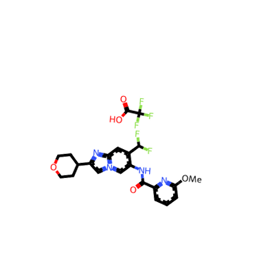 COc1cccc(C(=O)Nc2cn3cc(C4CCOCC4)nc3cc2C(F)F)n1.O=C(O)C(F)(F)F